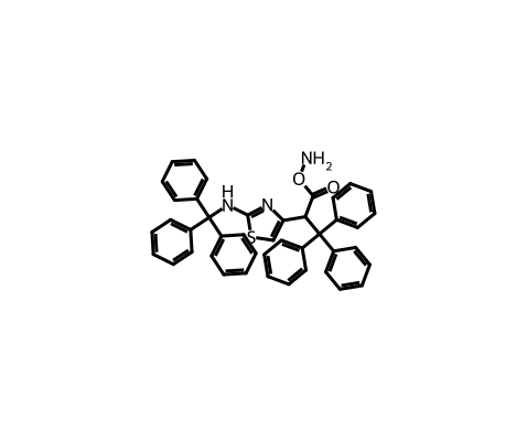 NOC(=O)C(c1csc(NC(c2ccccc2)(c2ccccc2)c2ccccc2)n1)C(c1ccccc1)(c1ccccc1)c1ccccc1